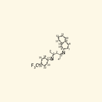 CC(CC(C)=Nc1ccc2ccccc2c1)=Nc1ccc(C(F)(F)F)cc1